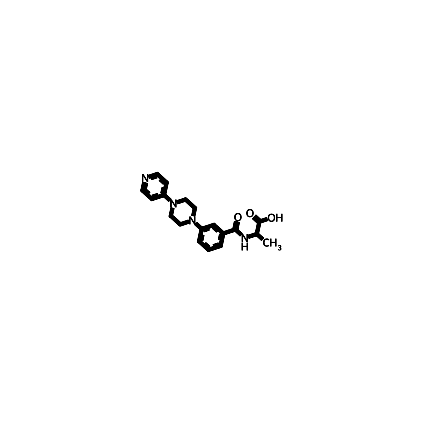 CC(NC(=O)c1cccc(N2CCN(c3ccncc3)CC2)c1)C(=O)O